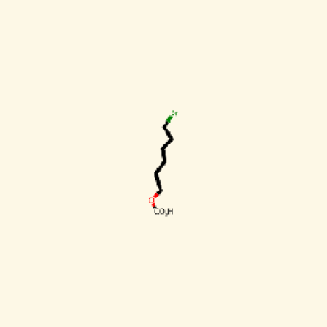 O=C(O)OCCCCCCBr